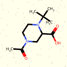 CC(=O)N1CCN(C(C)(C)C)C(C(=O)O)C1